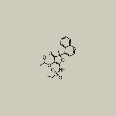 CCS(=O)(=O)NC1=C(OC(C)=O)C(=O)C(C)(c2ccnc3ccccc23)O1